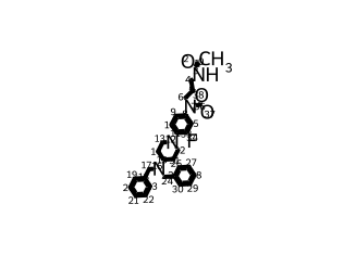 CC(=O)NCC1CN(c2ccc(N3CCC(N(Cc4ccccc4)Cc4ccccc4)CC3)c(F)c2)C(=O)O1